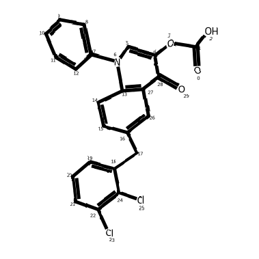 O=C(O)Oc1cn(-c2ccccc2)c2ccc(Cc3cccc(Cl)c3Cl)cc2c1=O